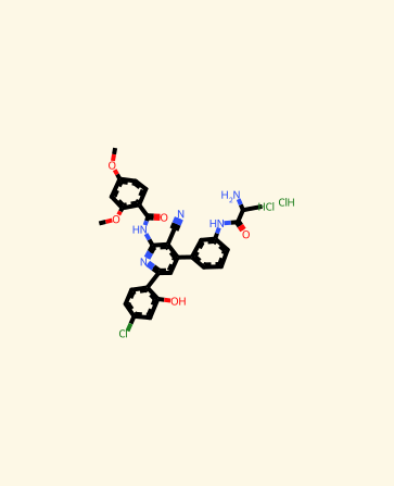 COc1ccc(C(=O)Nc2nc(-c3ccc(Cl)cc3O)cc(-c3cccc(NC(=O)C(C)N)c3)c2C#N)c(OC)c1.Cl.Cl